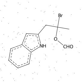 CC(Br)(Cc1cc2ccccc2[nH]1)OC=O